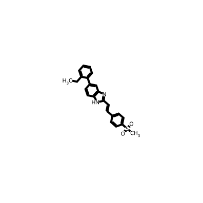 CCc1ccccc1-c1ccc2[nH]c(/C=C/c3ccc(S(C)(=O)=O)cc3)nc2c1